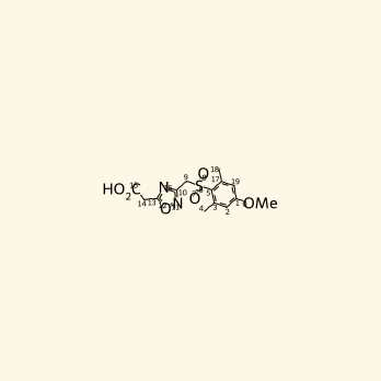 COc1cc(C)c(S(=O)(=O)Cc2noc(CC(=O)O)n2)c(C)c1